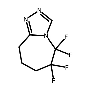 FC1(F)CCCc2nncn2C1(F)F